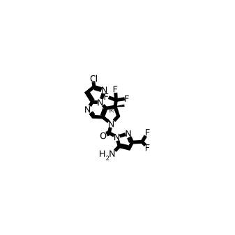 C[C@@]1(C(F)(F)F)CN(C(=O)n2nc(C(F)F)cc2N)c2cnc3cc(Cl)nn3c21